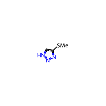 [C]Sc1c[nH]nn1